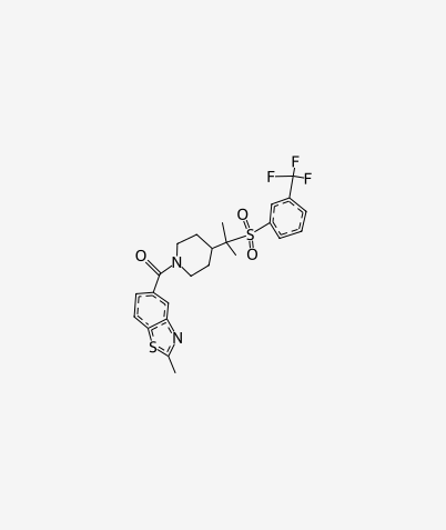 Cc1nc2cc(C(=O)N3CCC(C(C)(C)S(=O)(=O)c4cccc(C(F)(F)F)c4)CC3)ccc2s1